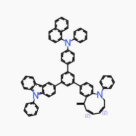 C=C1/C=C\C=C/CN(c2ccccc2)c2ccc(-c3cc(-c4ccc(N(c5ccccc5)c5cccc6ccccc56)cc4)cc(-c4ccc5c(c4)c4ccccc4n5-c4ccccc4)c3)cc21